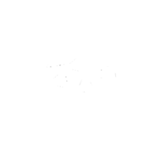 CS(=O)(=O)c1ccccc1-c1ccsc1-c1ccccc1OS(=O)(=O)C(F)(F)F